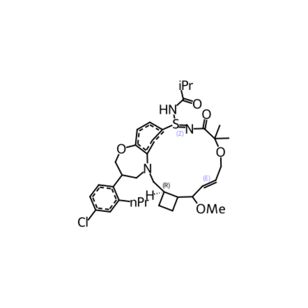 CCCc1cc(Cl)ccc1C1COc2ccc3cc2N(C1)C[C@@H]1CCC1C(OC)/C=C/COC(C)(C)C(=O)/N=S/3NC(=O)C(C)C